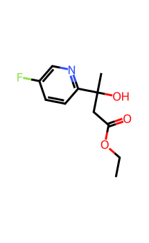 CCOC(=O)CC(C)(O)c1ccc(F)cn1